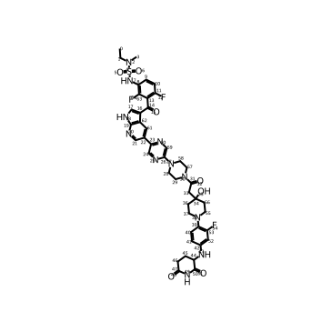 CCN(C)S(=O)(=O)Nc1ccc(F)c(C(=O)c2c[nH]c3ncc(-c4cnc(N5CCN(C(=O)CC6(O)CCN(c7ccc(NC8CCC(=O)NC8=O)cc7F)CC6)CC5)cn4)cc23)c1F